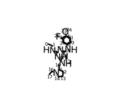 CCN/C(N)=N/C(=N\CNCC1CCCN1CC)Nc1ccc(OC)c(F)c1